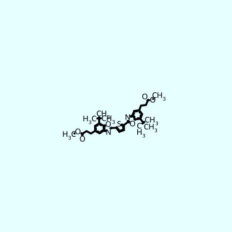 COC(=O)CCc1cc(C(C)(C)C)c2oc(-c3ccc(-c4nc5cc(CCC(=O)OC)cc(C(C)(C)C)c5o4)s3)nc2c1